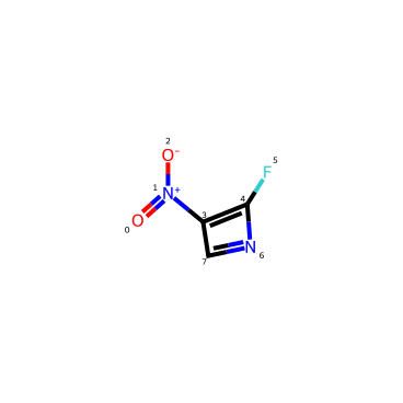 O=[N+]([O-])C1=C(F)N=C1